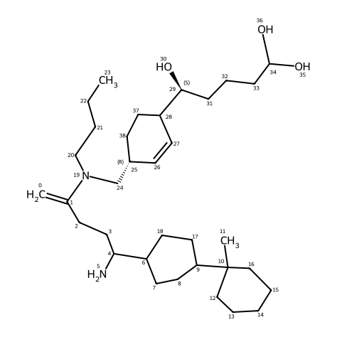 C=C(CCC(N)C1CCC(C2(C)CCCCC2)CC1)N(CCCC)C[C@H]1C=CC([C@@H](O)CCCC(O)O)CC1